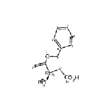 C=C(OCc1ccccc1)[C@H](CCC)CC(=O)O